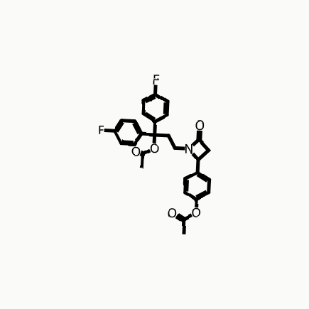 CC(=O)Oc1ccc(C2CC(=O)N2CCC(OC(C)=O)(c2ccc(F)cc2)c2ccc(F)cc2)cc1